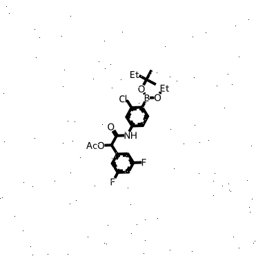 CCOB(OC(C)(C)CC)c1ccc(NC(=O)C(OC(C)=O)c2cc(F)cc(F)c2)cc1Cl